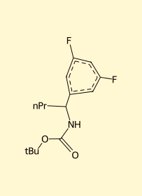 CCCC(NC(=O)OC(C)(C)C)c1cc(F)cc(F)c1